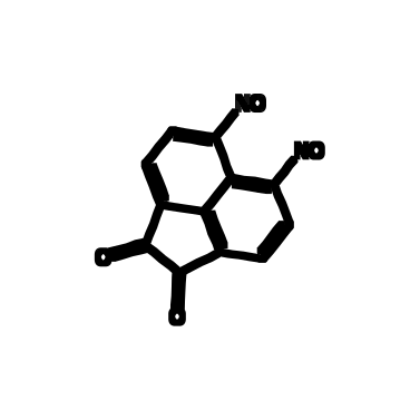 O=Nc1ccc2c3c(ccc(N=O)c13)C(=O)C2=O